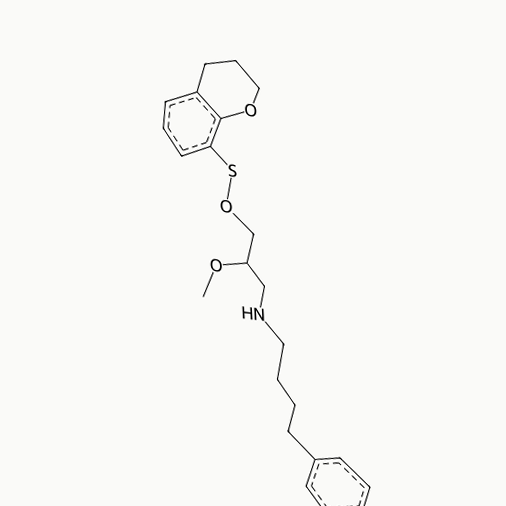 COC(CNCCCCc1ccccc1)COSc1cccc2c1OCCC2